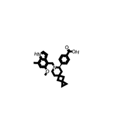 COc1cc(C)c2[nH]ccc2c1CN1CCC2(C[C@@H]1c1ccc(C(=O)O)cc1)CC1(CC1)C2